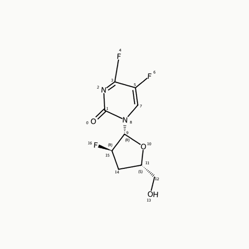 O=c1nc(F)c(F)cn1[C@@H]1O[C@H](CO)C[C@H]1F